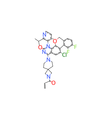 C=CC(=O)N1CC2(CCN(c3nc(=O)n(-c4c(C)ccnc4C(C)C)c4c5c(c(Cl)cc34)-c3c(ccc(F)c3F)CO5)CC2)C1